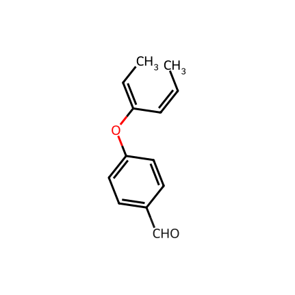 C/C=C\C(=C/C)Oc1ccc(C=O)cc1